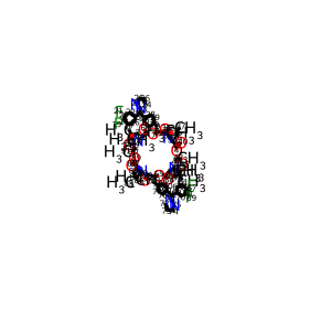 CC(C)C[C@H]1C(=O)O[C@H](Cc2ccc(C(c3ccc(F)c(F)c3)n3cccn3)cc2)C(=O)N(C)[C@@H](CC(C)C)C(=O)O[C@H](C)C(=O)N(C)[C@@H](CC(C)C)C(=O)O[C@H](Cc2ccc(C(c3ccc(F)c(F)c3)n3cccn3)cc2)C(=O)N(C)[C@@H](CC(C)C)C(=O)O[C@H](C)C(=O)N1C